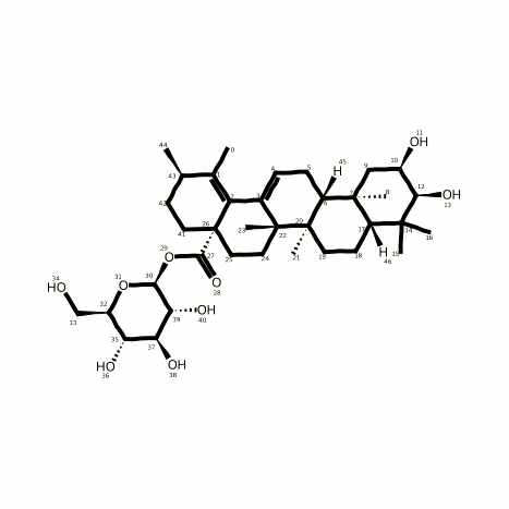 CC1=C2C3=CC[C@@H]4[C@@]5(C)C[C@@H](O)[C@@H](O)C(C)(C)[C@@H]5CC[C@@]4(C)[C@]3(C)CC[C@@]2(C(=O)O[C@@H]2O[C@H](CO)[C@@H](O)[C@H](O)[C@H]2O)CC[C@H]1C